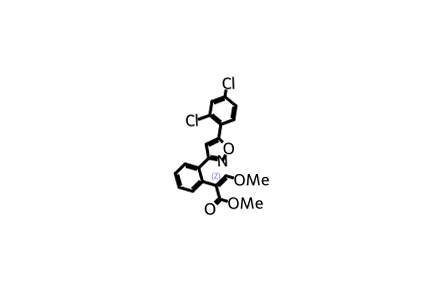 CO/C=C(\C(=O)OC)c1ccccc1-c1cc(-c2ccc(Cl)cc2Cl)on1